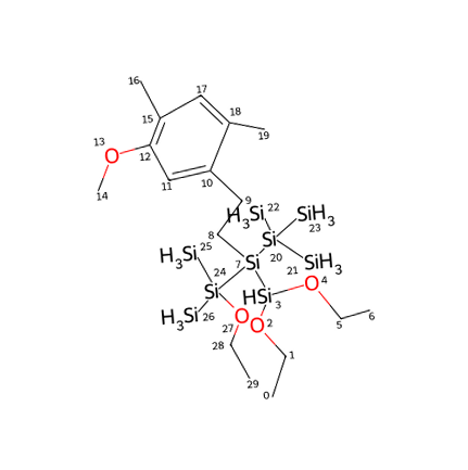 CCO[SiH](OCC)[Si](CCc1cc(OC)c(C)cc1C)([Si]([SiH3])([SiH3])[SiH3])[Si]([SiH3])([SiH3])OCC